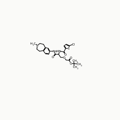 CN1CCc2ccc(NC(=O)C(COCC(=O)OC(C)(C)C)NC(=O)c3ccc(Cl)s3)cc2CC1